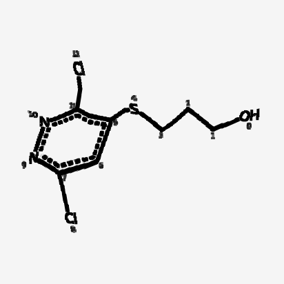 OCCCSc1cc(Cl)nnc1Cl